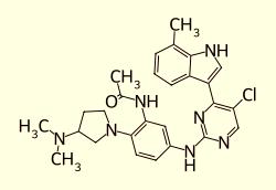 CC(=O)Nc1cc(Nc2ncc(Cl)c(-c3c[nH]c4c(C)cccc34)n2)ccc1N1CCC(N(C)C)C1